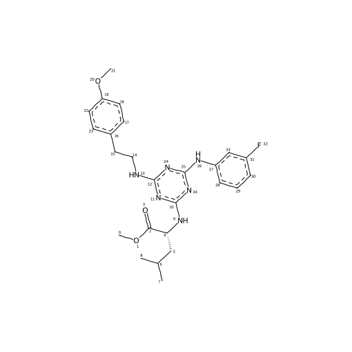 COC(=O)[C@@H](CC(C)C)Nc1nc(NCCc2ccc(OC)cc2)nc(Nc2cccc(F)c2)n1